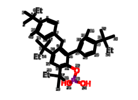 CCC(C)(C)c1ccc(Cc2c(C(C)(C)CC)cc(C(C)(C)CC)c(OP(O)O)c2-c2ccc(C(C)(C)CC)c(C)c2)cc1C